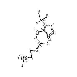 CNCCO[C@H]1COc2c(C(C)(C)C)cnn2C1